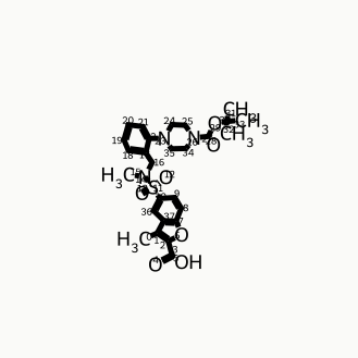 Cc1c(C(=O)O)oc2ccc(S(=O)(=O)N(C)Cc3ccccc3N3CCN(C(=O)OC(C)(C)C)CC3)cc12